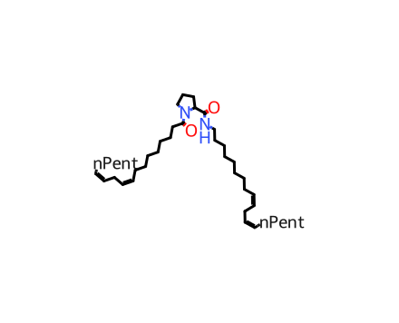 CCCCC/C=C\C/C=C\CCCCCCCCNC(=O)C1CCCN1C(=O)CCCCCCC/C=C\C/C=C\CCCCC